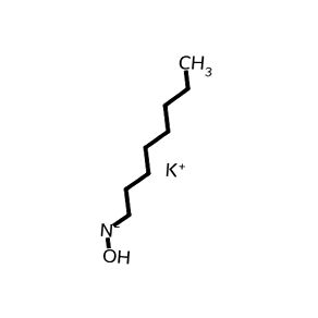 CCCCCCCC[N-]O.[K+]